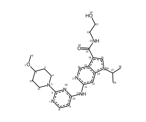 COC1CCN(c2nccc(Nc3cc4c(cn3)c(C(=O)NCCO)cn4C(C)C)n2)CC1